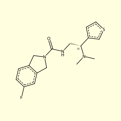 CN(C)[C@H](CNC(=O)N1Cc2ccc(F)cc2C1)c1ccsc1